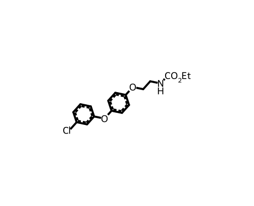 CCOC(=O)NCCOc1ccc(Oc2cccc(Cl)c2)cc1